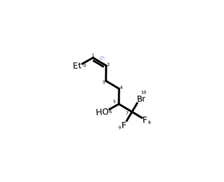 CC/C=C\CCC(O)C(F)(F)Br